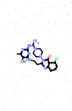 Cc1nc(N)nc(NCCc2nc3cccc(Cl)c3c(=O)n2N2CCN(CC(F)(F)F)CC2)c1C#N